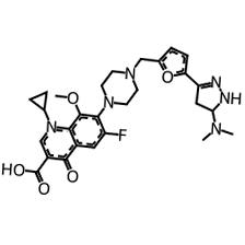 COc1c(N2CCN(Cc3ccc(C4=NNC(N(C)C)C4)o3)CC2)c(F)cc2c(=O)c(C(=O)O)cn(C3CC3)c12